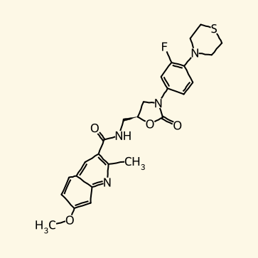 COc1ccc2cc(C(=O)NC[C@H]3CN(c4ccc(N5CCSCC5)c(F)c4)C(=O)O3)c(C)nc2c1